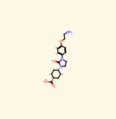 NCCOc1ccc(N2CCN([C@H]3CC[C@H](C(=O)O)CC3)C2=O)cc1